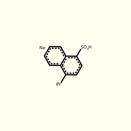 CC(C)c1ccc(S(=O)(=O)O)c2ccccc12.[Na]